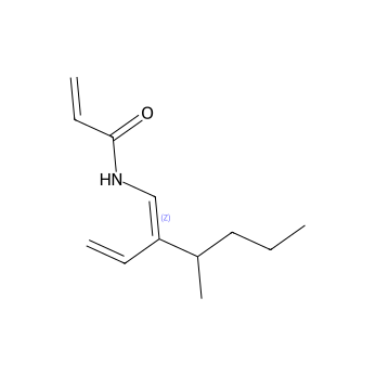 C=CC(=O)N/C=C(\C=C)C(C)CCC